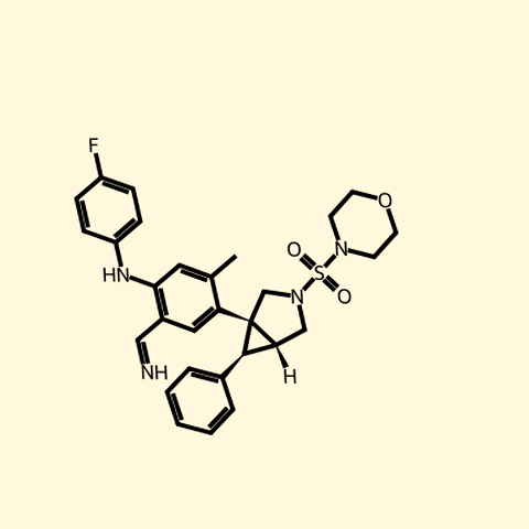 Cc1cc(Nc2ccc(F)cc2)c(C=N)cc1[C@@]12CN(S(=O)(=O)N3CCOCC3)C[C@@H]1[C@H]2c1ccccc1